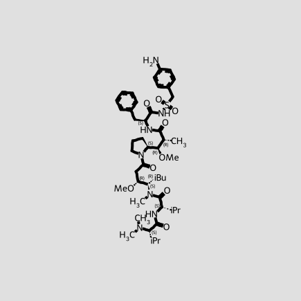 CC[C@@H](C)[C@@H]([C@@H](CC(=O)N1CCC[C@H]1[C@H](OC)[C@@H](C)C(=O)N[C@@H](Cc1ccccc1)C(=O)NS(=O)(=O)Cc1ccc(N)cc1)OC)N(C)C(=O)[C@@H](NC(=O)[C@H](C(C)C)N(C)C)C(C)C